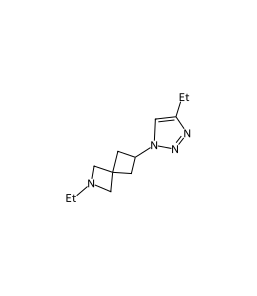 CCc1cn(C2CC3(C2)CN(CC)C3)nn1